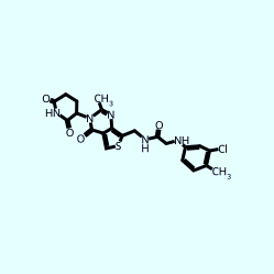 Cc1ccc(NCC(=O)NCc2scc3c(=O)n(C4CCC(=O)NC4=O)c(C)nc23)cc1Cl